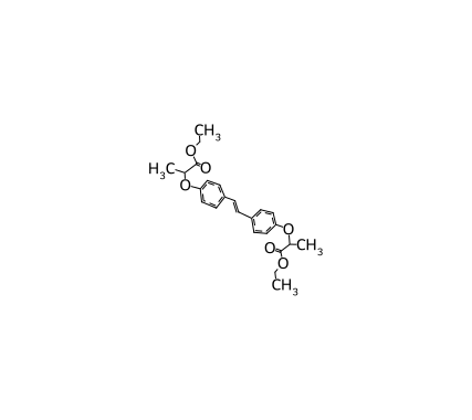 CCOC(=O)C(C)Oc1ccc(/C=C/c2ccc(OC(C)C(=O)OCC)cc2)cc1